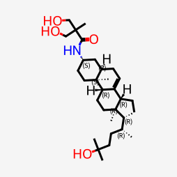 C[C@H](CCC(C)(C)O)[C@H]1CC[C@H]2C3=CC[C@@H]4C[C@@H](NC(=O)C(C)(CO)CO)CC[C@]4(C)[C@H]3CC[C@]12C